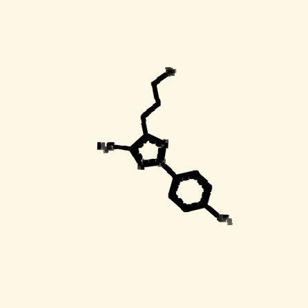 Cc1nn(-c2ccc(C(F)(F)F)cc2)nc1CCCBr